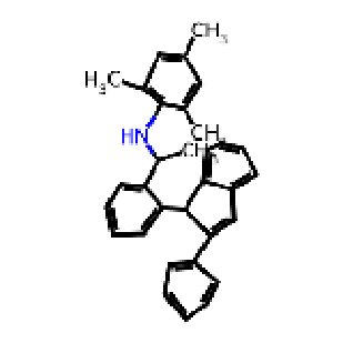 Cc1cc(C)c(NC(C)c2ccccc2C2C(c3ccccc3)=Cc3ccccc32)c(C)c1